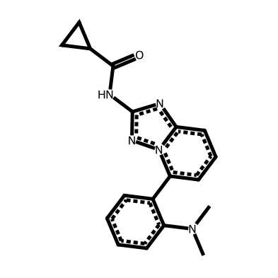 CN(C)c1ccccc1-c1cccc2nc(NC(=O)C3CC3)nn12